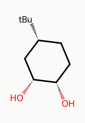 CC(C)(C)[C@@H]1CC[C@H](O)[C@H](O)C1